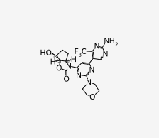 Nc1ncc(-c2cc(N3C(=O)O[C@@H]4[C@@H](O)CC[C@@H]43)nc(N3CCOCC3)n2)c(C(F)(F)F)n1